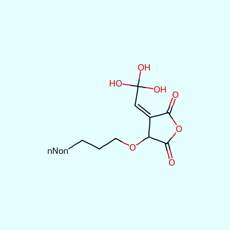 CCCCCCCCCCCCOC1C(=O)OC(=O)C1=CC(O)(O)O